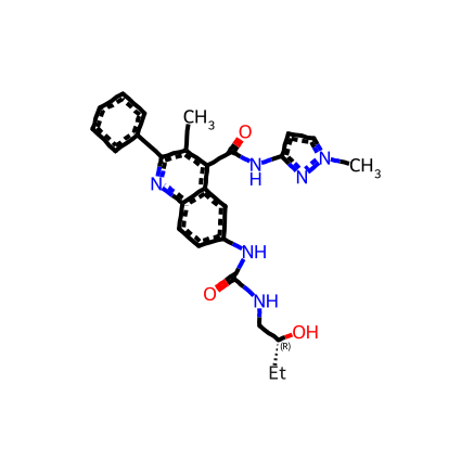 CC[C@@H](O)CNC(=O)Nc1ccc2nc(-c3ccccc3)c(C)c(C(=O)Nc3ccn(C)n3)c2c1